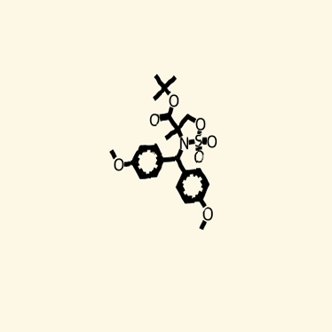 COc1ccc(C(c2ccc(OC)cc2)N2C(C)(C(=O)OC(C)(C)C)COS2(=O)=O)cc1